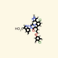 Cc1cc(N2CC(C)n3c(c(CCCOc4cc(C)c(Cl)c(C)c4)c4ccc(Cl)c(-c5c(C)nn(C)c5C)c43)C2=O)c2[nH]cc(C(=O)O)c2c1